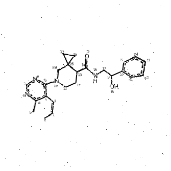 C/C=C\c1c(C)ncnc1N1CCC(C(=O)NCC(O)c2ccccc2)C2(CC2)C1